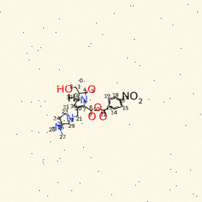 C[C@@H](O)C1C(=O)N2C(C(=O)OC(=O)c3ccc([N+](=O)[O-])cc3)=C(CN3CC[C@H](N(C)C)C3)[C@H](C)[C@H]12